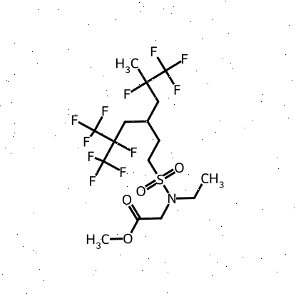 CCN(CC(=O)OC)S(=O)(=O)CCC(CC(C)(F)C(F)(F)F)CC(F)(C(F)(F)F)C(F)(F)F